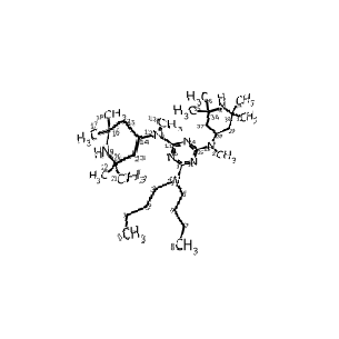 CCCCN(CCCC)c1nc(N(C)C2CC(C)(C)NC(C)(C)C2)nc(N(C)C2CC(C)(C)NC(C)(C)C2)n1